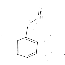 O=[SH]Oc1ccccc1.[Cu]